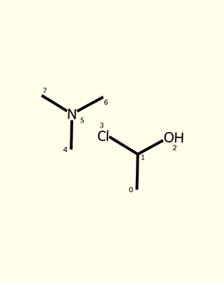 CC(O)Cl.CN(C)C